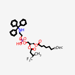 CCCCCCCCCCCCCCCC(=O)OC[C@H](COP(=O)(O)OCCNC(c1ccccc1)(c1ccccc1)c1ccccc1)OC(=O)CC(C)C(F)(F)F